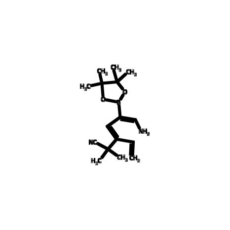 C=C/C(=C\C(=C/N)B1OC(C)(C)C(C)(C)O1)C(C)(C)C#N